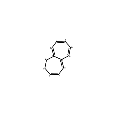 C1=CC=C2CCC=CC=C2C=C1